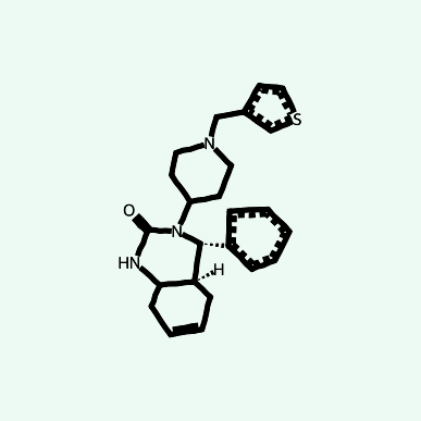 O=C1NC2CC=CC[C@@H]2[C@@H](c2ccccc2)N1C1CCN(Cc2ccsc2)CC1